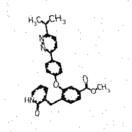 COC(=O)c1ccc(Cc2ccc[nH]c2=O)c(Oc2ccc(-c3ccc(C(C)C)nn3)cc2)c1